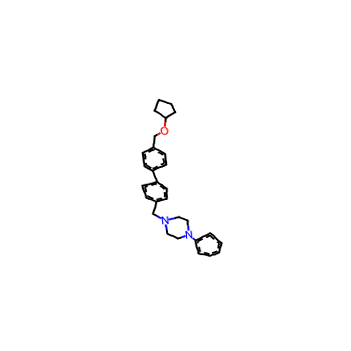 c1ccc(N2CCN(Cc3ccc(-c4ccc(COC5CCCC5)cc4)cc3)CC2)cc1